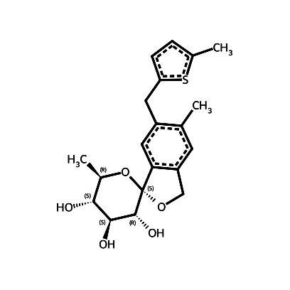 Cc1ccc(Cc2cc3c(cc2C)CO[C@]32O[C@H](C)[C@@H](O)[C@H](O)[C@H]2O)s1